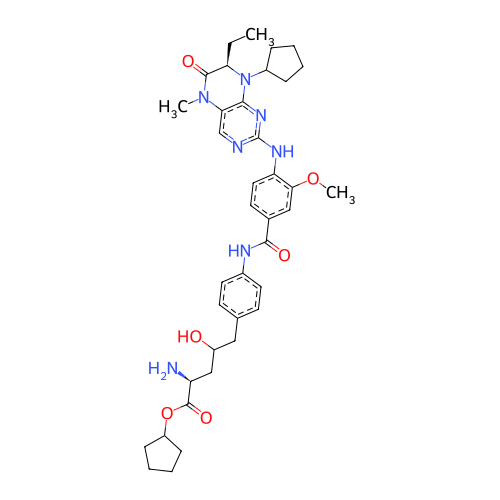 CC[C@@H]1C(=O)N(C)c2cnc(Nc3ccc(C(=O)Nc4ccc(CC(O)C[C@H](N)C(=O)OC5CCCC5)cc4)cc3OC)nc2N1C1CCCC1